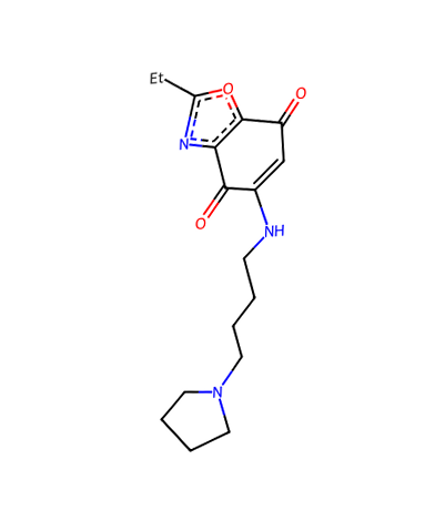 CCc1nc2c(o1)C(=O)C=C(NCCCCN1CCCC1)C2=O